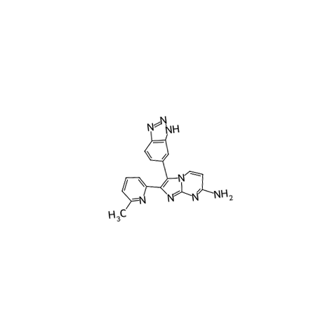 Cc1cccc(-c2nc3nc(N)ccn3c2-c2ccc3nn[nH]c3c2)n1